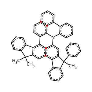 CC1(C)c2ccccc2-c2c(-c3ccccc3N(c3ccc4c(c3)C(C)(c3ccccc3)c3ccccc3-4)c3ccccc3-c3ccccc3)cccc21